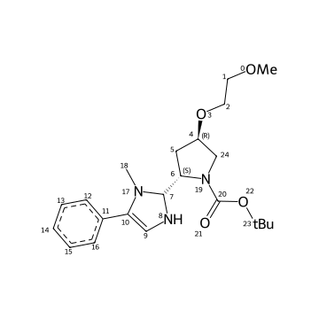 COCCO[C@@H]1C[C@@H](C2NC=C(c3ccccc3)N2C)N(C(=O)OC(C)(C)C)C1